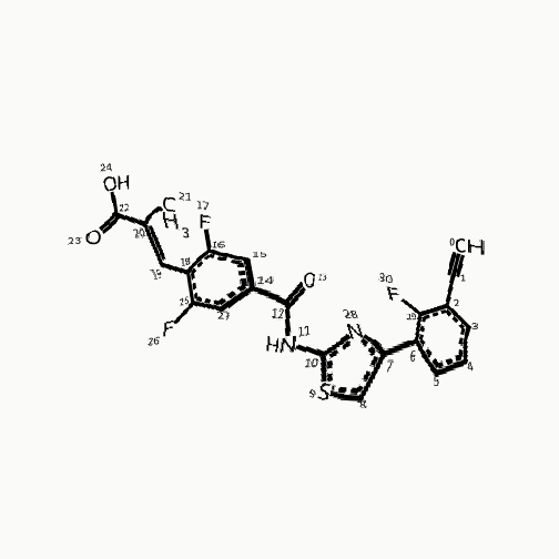 C#Cc1cccc(-c2csc(NC(=O)c3cc(F)c(C=C(C)C(=O)O)c(F)c3)n2)c1F